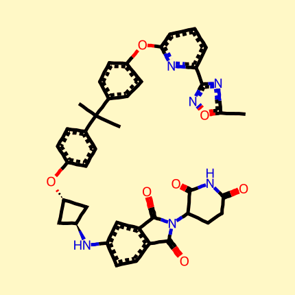 Cc1nc(-c2cccc(Oc3ccc(C(C)(C)c4ccc(O[C@H]5C[C@H](Nc6ccc7c(c6)C(=O)N(C6CCC(=O)NC6=O)C7=O)C5)cc4)cc3)n2)no1